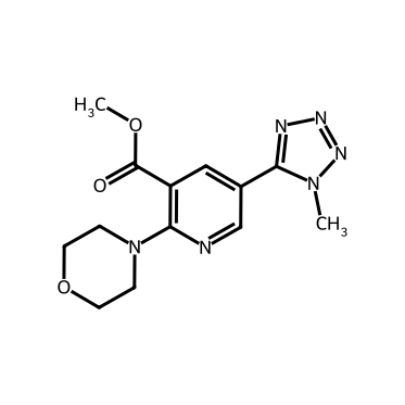 COC(=O)c1cc(-c2nnnn2C)cnc1N1CCOCC1